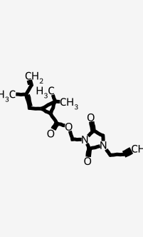 C#CCN1CC(=O)N(COC(=O)C2C(C=C(C)C=C)C2(C)C)C1=O